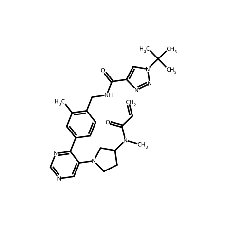 C=CC(=O)N(C)C1CCN(c2cncnc2-c2ccc(CNC(=O)c3cn(C(C)(C)C)nn3)c(C)c2)C1